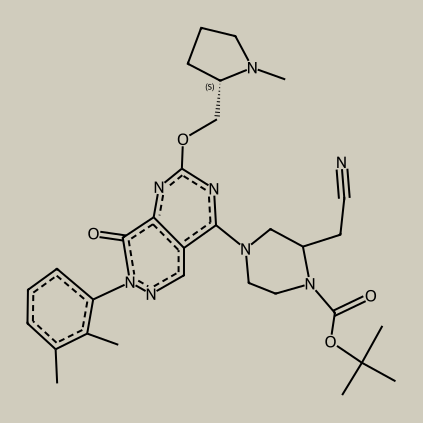 Cc1cccc(-n2ncc3c(N4CCN(C(=O)OC(C)(C)C)C(CC#N)C4)nc(OC[C@@H]4CCCN4C)nc3c2=O)c1C